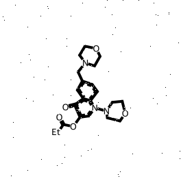 CCC(=O)Oc1cn(N2CCOCC2)c2ccc(CN3CCOCC3)cc2c1=O